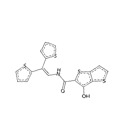 O=C(NC=C(c1cccs1)c1cccs1)c1sc2ccsc2c1O